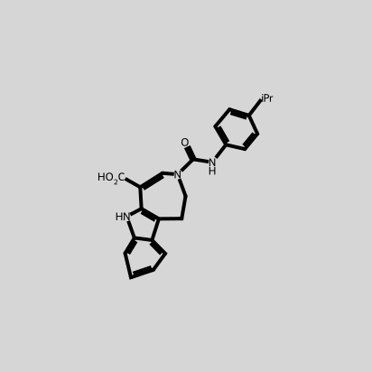 CC(C)c1ccc(NC(=O)N2C=C(C(=O)O)c3[nH]c4ccccc4c3CC2)cc1